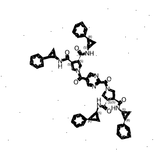 O=C(NC1CC1c1ccccc1)[C@@H]1CN(C(=O)c2cnc(C(=O)N3C[C@@H](C(=O)N[C@H]4C[C@@H]4c4ccccc4)[C@H](C(=O)N[C@H]4C[C@@H]4c4ccccc4)C3)nc2)C[C@H]1C(=O)N[C@H]1C[C@@H]1c1ccccc1